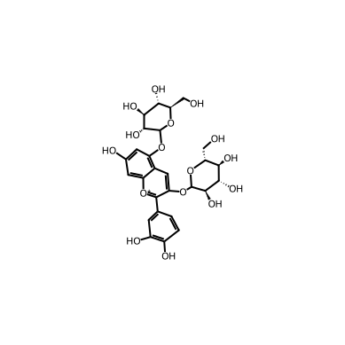 OC[C@H]1OC(Oc2cc3c(OC4O[C@H](CO)[C@@H](O)[C@H](O)[C@H]4O)cc(O)cc3[o+]c2-c2ccc(O)c(O)c2)[C@H](O)[C@@H](O)[C@@H]1O